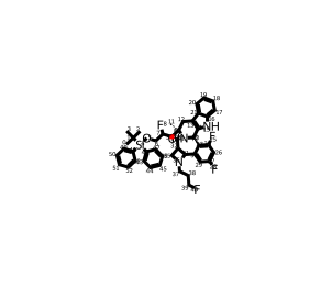 CC(C)(C)[Si](OCC(F)C[C@@]1(C)Cc2c([nH]c3ccccc23)[C@@H](c2c(F)cc(F)cc2C2C(C=O)CN2CCCF)N1)(c1ccccc1)c1ccccc1